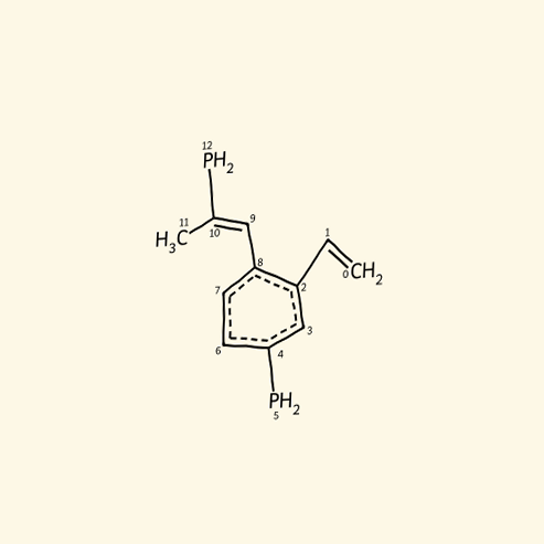 C=Cc1cc(P)ccc1/C=C(\C)P